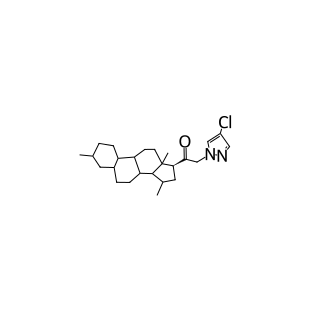 CC1CCC2C(CCC3C2CCC2(C)C3C(C)C[C@@H]2C(=O)Cn2cc(Cl)cn2)C1